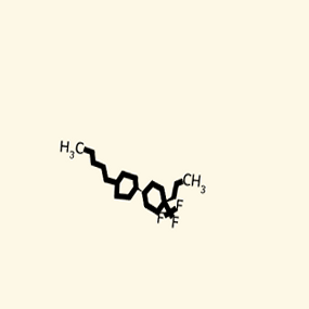 CCCCCC1CCC([C@H]2CC[C@@](CCC)(C(F)(F)F)CC2)CC1